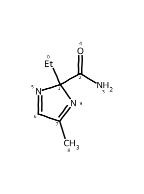 CCC1(C(N)=O)N=CC(C)=N1